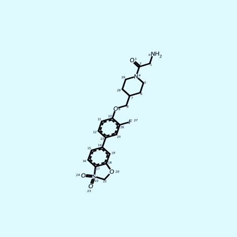 NCC(=O)N1CCC(COc2ccc(-c3ccc4c(c3)OCS4(=O)=O)cc2F)CC1